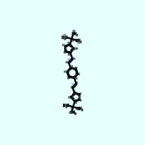 CC(C)(C)c1ccc(/C=C/c2ccc(/C=C/c3ccc(C(C)(C)C)s3)cc2)s1